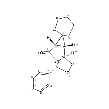 O=C1[C@H]2[C@@H]([C@H]3CO[C@H](c4ccccc4)N13)C21CCCCC1